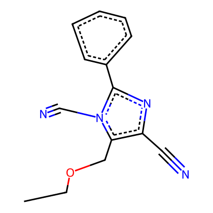 CCOCc1c(C#N)nc(-c2ccccc2)n1C#N